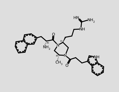 C[C@@H]1CN(C(=O)[C@H](N)Cc2ccc3ccccc3c2)[C@@H](CCCNC(=N)N)CN1C(=O)CCc1c[nH]c2ccccc12